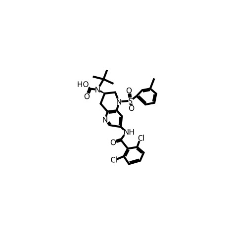 Cc1cccc(S(=O)(=O)N2C[C@H](N(C(=O)O)C(C)(C)C)Cc3ncc(NC(=O)c4c(Cl)cccc4Cl)cc32)c1